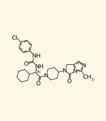 Cc1ncc2n1C(=O)N(C1CCN(C(=O)[C@H](NC(=O)Nc3ccc(Cl)cc3)C3CCCCC3)CC1)C2